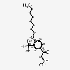 CCCCCCCCOc1ccc(C(=O)CNCl)cc1C(F)(F)F